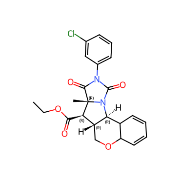 CCOC(=O)[C@@H]1[C@H]2COC3C=CC=CC3[C@@H]2N2C(=O)N(c3cccc(Cl)c3)C(=O)[C@@]12C